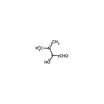 CN(C)C(O)C=O